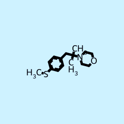 CSc1ccc(CC(C)(C)N2CCOCC2)cc1